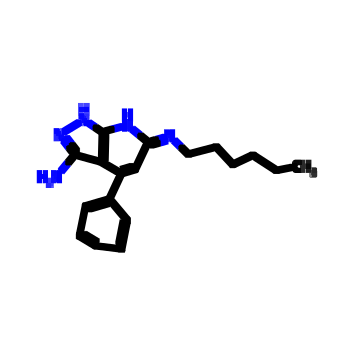 CCCCCCN=c1cc(-c2ccccc2)c2c(N)n[nH]c2[nH]1